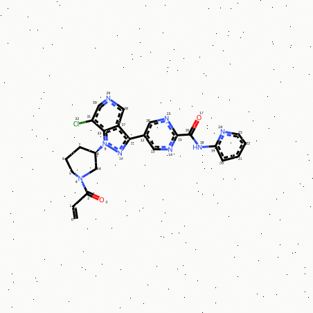 C=CC(=O)N1CCC[C@@H](n2nc(-c3cnc(C(=O)Nc4ccccn4)nc3)c3cncc(Cl)c32)C1